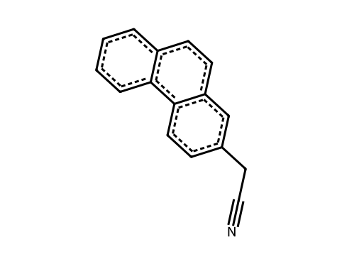 N#CCc1ccc2c(ccc3ccccc32)c1